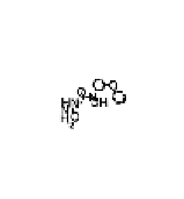 NC(=O)NCC(=O)N(O)c1cccc(Oc2ccccc2)c1